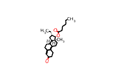 CCCCCC(=O)O[C@H]1[C@@H](CC)C[C@H]2[C@@H]3CCC4=CC(=O)CCC4=C3CC[C@@]21C